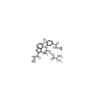 Cc1ccc(C(=O)NC2CC2)cc1N(C(=O)OCOC(=O)C(C)N)c1ncnn2cc(C(=O)NC3CC3)c(C)c12